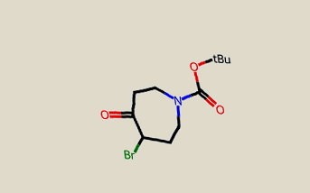 CC(C)(C)OC(=O)N1CCC(=O)C(Br)CC1